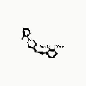 COc1cccc(C#CC=C2CCN(c3ncccc3C)CC2)c1OC